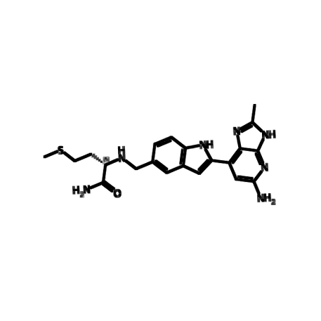 CSCC[C@H](NCc1ccc2[nH]c(-c3cc(N)nc4[nH]c(C)nc34)cc2c1)C(N)=O